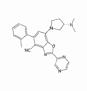 Cc1ccccc1-c1cc(N2CC[C@H](N(C)C)C2)c2oc(-c3cnccn3)nc2c1C#N